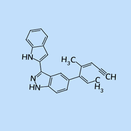 C#C/C=C(C)\C(=C/C)c1ccc2[nH]nc(-c3cc4ccccc4[nH]3)c2c1